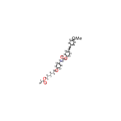 C=CC(=O)OCCCCCCOc1ccc(/C=C/C(=O)Oc2ccc(C#Cc3ccc(OC)cc3)cc2)cc1